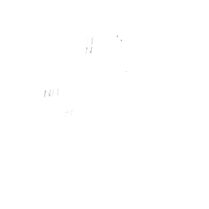 CCCC(CNCc1ccc2ccccc2c1Br)CNc1cc(=O)c2ccccc2[nH]1